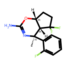 C[C@]1(c2ccccc2F)N=C(N)O[C@@H]2CCC(F)(F)[C@@H]21